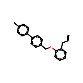 C=CCc1ccccc1OCc1ccc(-c2ccc(C)cc2)cc1